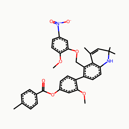 COc1ccc([N+](=O)[O-])cc1OCc1c(-c2ccc(OC(=O)c3ccc(C)cc3)cc2OC)ccc2c1C(C)=CC(C)(C)N2